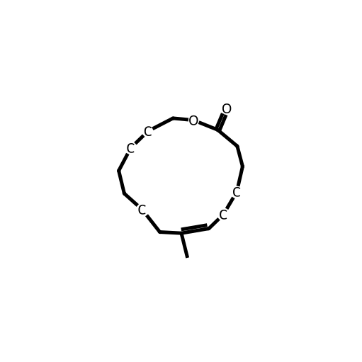 CC1=CCCCCC(=O)OCCCCCCC1